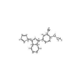 COc1ccc(-n2cc([SH]3C=CC=C3)c3ccccc32)cc1Br